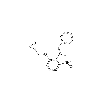 [O-][NH+]1CC(=Cc2ccccc2)c2c(OCC3CO3)cccc21